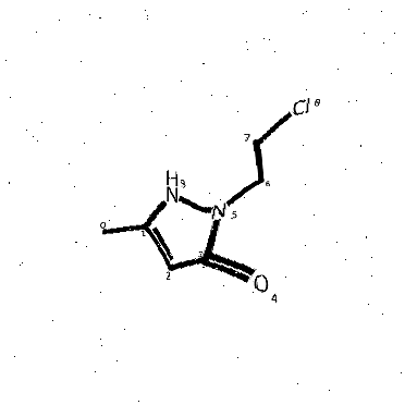 Cc1cc(=O)n(CCCl)[nH]1